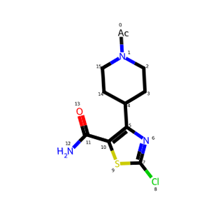 CC(=O)N1CCC(c2nc(Cl)sc2C(N)=O)CC1